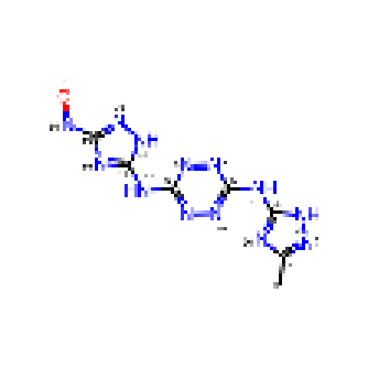 Cc1n[nH]c(Nc2nnc(Nc3nc(N=O)n[nH]3)nn2)n1